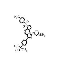 Cc1ccc(S(=O)(=O)n2ccc3c2ncc2c(-c4ccc(C(C)(C)O)cc4)nc([C@@H]4CC[C@H](N)C4)n23)cc1